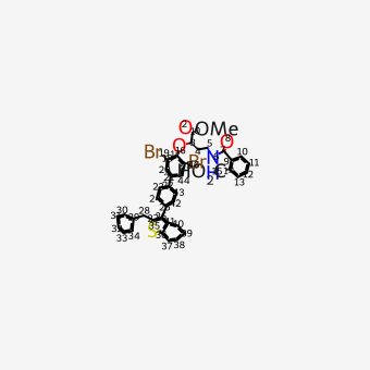 COC(=O)[C@@H](CCNC(=O)c1ccccc1C(=O)O)Oc1c(Br)cc(-c2ccc(-c3c(Cc4ccccc4)sc4ccccc34)cc2)cc1Br